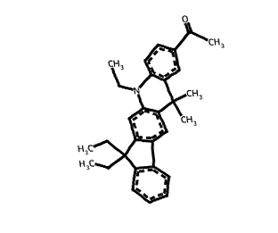 CCN1c2ccc(C(C)=O)cc2C(C)(C)c2cc3c(cc21)C(CC)(CC)c1ccccc1-3